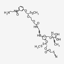 CC#CC(C)(OCC1O[C@@H](BC#CCNC(=O)COCCOC(COc2cccc(C(=O)NCCN)c2)SSC)C[C@H]1O[C@H](COC(=O)OCSC#N)SSC)P(O)O